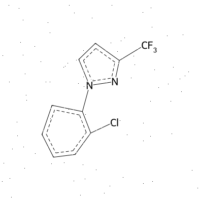 FC(F)(F)c1ccn(-c2ccccc2Cl)n1